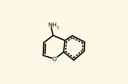 NC1C=COc2ccccc21